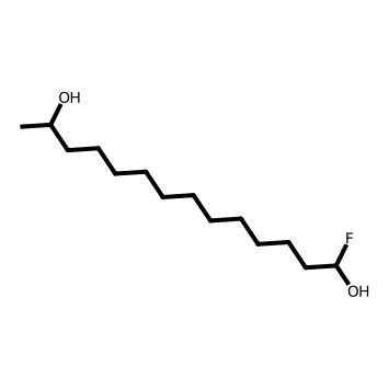 CC(O)CCCCCCCCCCCC(O)F